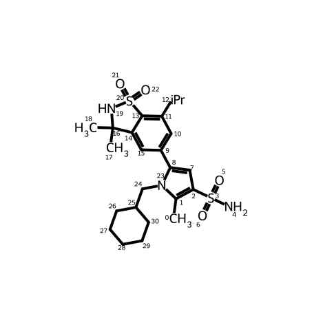 Cc1c(S(N)(=O)=O)cc(-c2cc(C(C)C)c3c(c2)C(C)(C)NS3(=O)=O)n1CC1CCCCC1